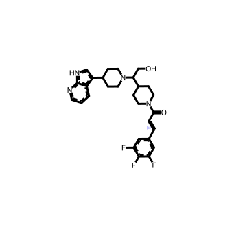 O=C(/C=C/c1cc(F)c(F)c(F)c1)N1CCC(C(CO)N2CCC(c3c[nH]c4ncccc34)CC2)CC1